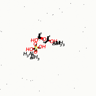 CC(=O)O.CC(C)O.O=S(=O)(O)O.[AlH3].[AlH3].[AlH3].[AlH3]